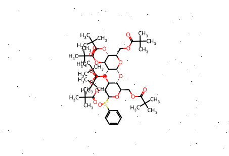 CC(C)(C)C(=O)OC[C@H]1O[C@@H]([S+]([O-])c2ccccc2)[C@H](OC(=O)C(C)(C)C)[C@@H](OC(=O)C(C)(C)C)[C@@H]1O[C@H]1O[C@H](COC(=O)C(C)(C)C)[C@@H](OC(=O)C(C)(C)C)[C@H](OC(=O)C(C)(C)C)[C@H]1OC(=O)C(C)(C)C